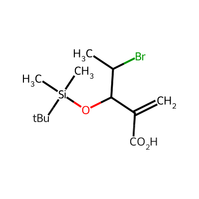 C=C(C(=O)O)C(O[Si](C)(C)C(C)(C)C)C(C)Br